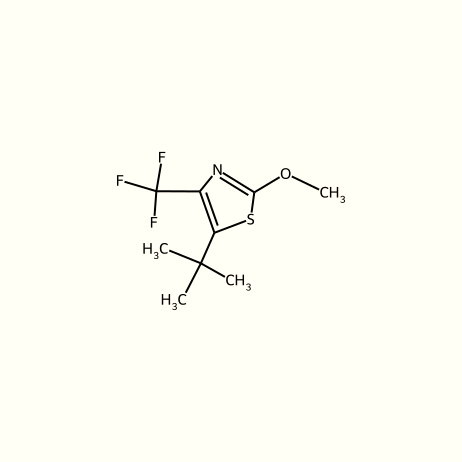 COc1nc(C(F)(F)F)c(C(C)(C)C)s1